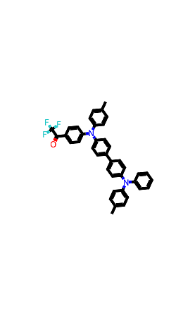 Cc1ccc(N(c2ccccc2)c2ccc(-c3ccc(N(c4ccc(C)cc4)c4ccc(C(=O)C(F)(F)F)cc4)cc3)cc2)cc1